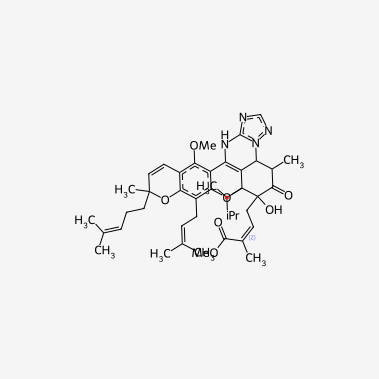 COC(=O)/C(C)=C\CC1(O)C(=O)C(C)C2C3=C(Nc4ncnn42)c2c(OC)c4c(c(CC=C(C)C)c2OC31C(C)C(C)C)OC(C)(CCC=C(C)C)C=C4